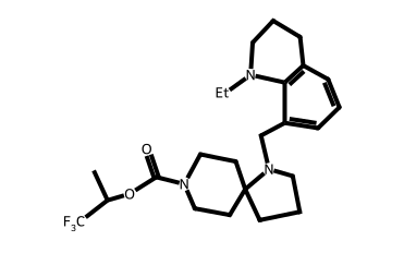 CCN1CCCc2cccc(CN3CCCC34CCN(C(=O)OC(C)C(F)(F)F)CC4)c21